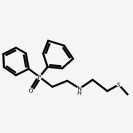 CSCCNCCP(=O)(c1ccccc1)c1ccccc1